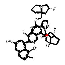 CCc1c(F)ccc2cc(O)cc(-c3ncc4c(N5C[C@H]6CC[C@@H](C5)C6C(=O)n5cccn5)nc(OC[C@@]56CCCN5C[C@H](F)C6)nc4c3F)c12